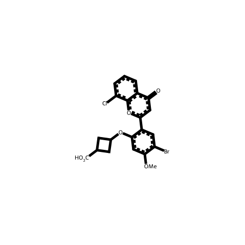 COc1cc(OC2CC(C(=O)O)C2)c(-c2cc(=O)c3cccc(Cl)c3o2)cc1Br